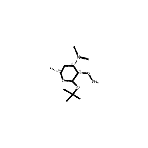 C[C@@H]1C[C@H](N(C)C)[C@@H](OP)C(OC(C)(C)C)O1